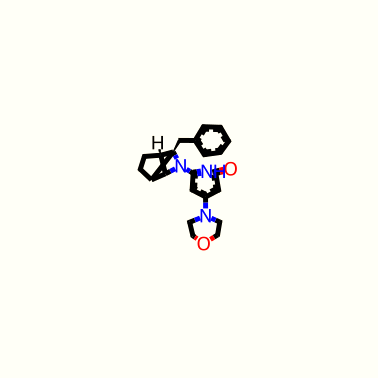 O=c1cc(N2CCOCC2)cc(N2C3C4CC[C@H]3[C@@]42Cc2ccccc2)[nH]1